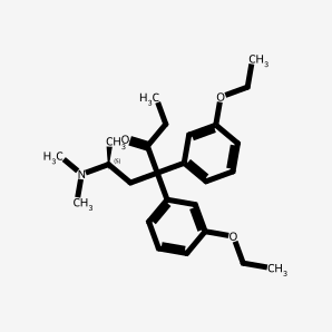 CCOc1cccc(C(C[C@H](C)N(C)C)(C(=O)CC)c2cccc(OCC)c2)c1